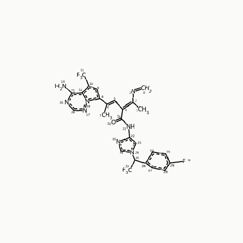 C=N/C(C)=C(\C=C(/C)c1cc(C(F)(F)F)c2c(N)ncnn12)C(=O)Nc1cn(C(c2ccc(F)cc2)C(F)(F)F)cn1